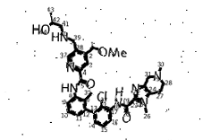 COCc1cc(C(=O)Nc2cccc(-c3cccc(NC(=O)c4nc5c(n4C)CCN(C)C5)c3Cl)c2C)ncc1CNC[C@H](C)O